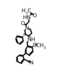 COc1ccc(-c2ccccc2C#N)cc1CN[C@H]1CCN(C(=O)CNC(C)=O)C[C@H]1c1ccccc1